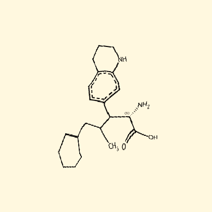 CC(CC1CCCCC1)C(c1ccc2c(c1)NCCC2)[C@H](N)C(=O)O